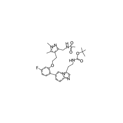 Cc1c(CCOc2cc(F)ccc2-c2ccc3ncc(CCNC(=O)OC(C)(C)C)n3c2)c(CNS(C)(=O)=O)nn1C